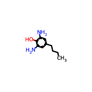 CCCCc1cc(N)c(O)c(N)c1